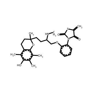 C=C1SC(=O)N(c2ccccc2OCC(CCC2(C)CCc3c(C)c(O)c(C)c(C)c3O2)NC)C1=O